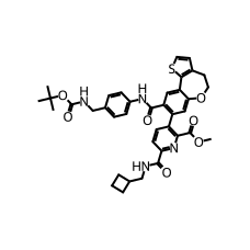 COC(=O)c1nc(C(=O)NCC2CCC2)ccc1-c1cc2c(cc1C(=O)Nc1ccc(CNC(=O)OC(C)(C)C)cc1)-c1sccc1CCO2